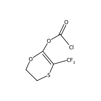 O=C(Cl)OC1=C(C(F)(F)F)SCCO1